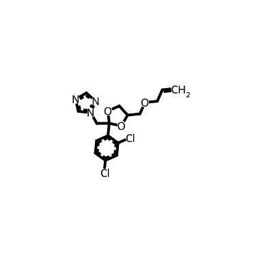 C=CCOCC1COC(Cn2cncn2)(c2ccc(Cl)cc2Cl)O1